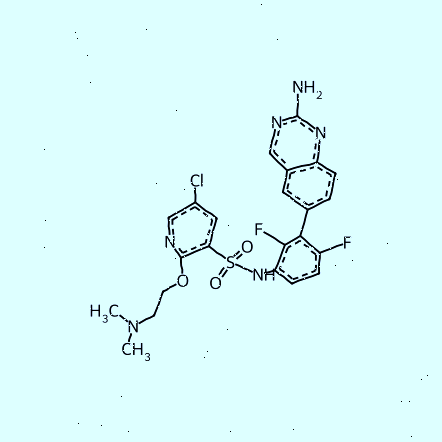 CN(C)CCOc1ncc(Cl)cc1S(=O)(=O)Nc1ccc(F)c(-c2ccc3nc(N)ncc3c2)c1F